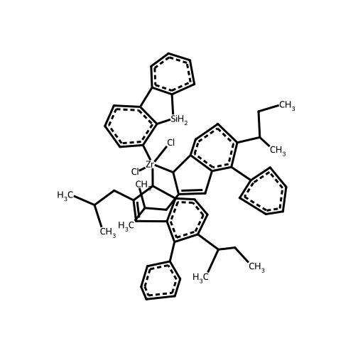 CCC(C)c1ccc2c(c1-c1ccccc1)C=C(CC(C)C)[CH]2[Zr]([Cl])([Cl])([c]1cccc2c1[SiH2]c1ccccc1-2)[CH]1C(CC(C)C)=Cc2c1ccc(C(C)CC)c2-c1ccccc1